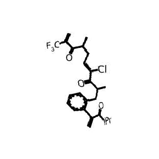 C=C(C(=O)C(C)C)c1ccccc1CC(C)C(=O)C(Cl)=CCC(C)C(=O)C(=C)C(F)(F)F